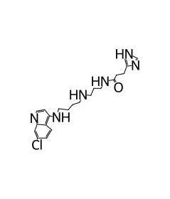 O=C(CCc1c[nH]cn1)NCCCNCCCCNc1ccnc2cc(Cl)ccc12